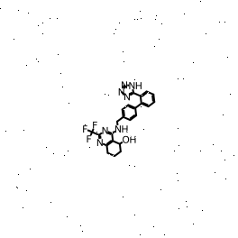 OC1CCCc2nc(C(F)(F)F)nc(NCc3ccc(-c4ccccc4-c4nnn[nH]4)cc3)c21